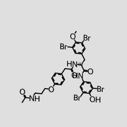 COc1c(Br)cc(C[C@H](NC(=O)Cc2ccc(OCCCNC(C)=O)cc2)C(=O)Nc2cc(Br)c(O)c(Br)c2)cc1Br